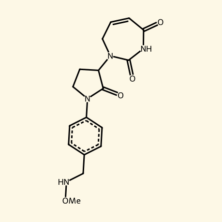 CONCc1ccc(N2CCC(N3CC=CC(=O)NC3=O)C2=O)cc1